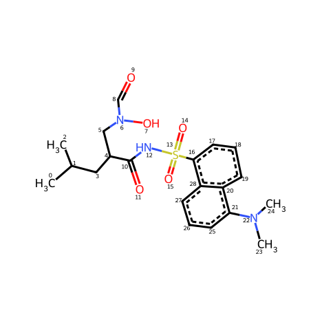 CC(C)CC(CN(O)C=O)C(=O)NS(=O)(=O)c1cccc2c(N(C)C)cccc12